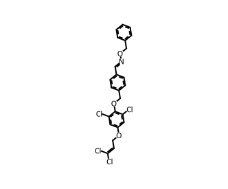 ClC(Cl)=CCOc1cc(Cl)c(OCc2ccc(C=NOCc3ccccc3)cc2)c(Cl)c1